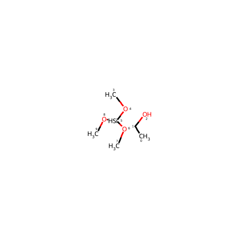 CCO.CO[SiH](OC)OC